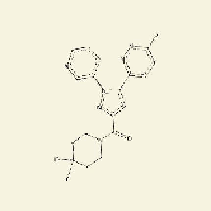 Cc1ccc(-c2cc(C(=O)N3CCC(F)(F)CC3)nn2-c2cccnc2)nn1